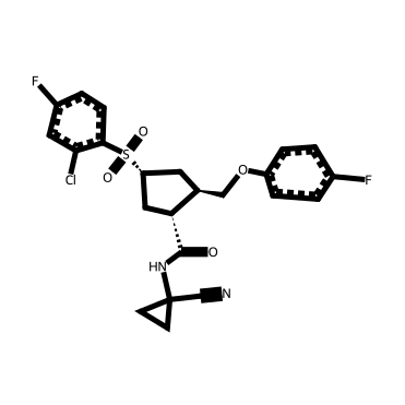 N#CC1(NC(=O)[C@@H]2C[C@H](S(=O)(=O)c3ccc(F)cc3Cl)C[C@H]2COc2ccc(F)cc2)CC1